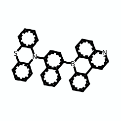 c1ccc2c(c1)Sc1ccccc1N2c1ccc(B2c3ccccc3-c3ccnc4cccc2c34)c2ccccc12